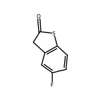 O=C1Cc2cc(F)ccc2S1